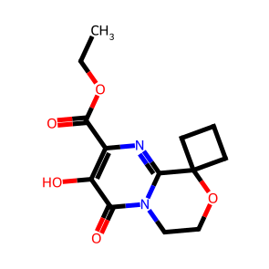 CCOC(=O)c1nc2n(c(=O)c1O)CCOC21CCC1